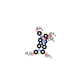 COc1ccc2c(c1)Sc1cc(OC)ccc1N2c1ccc2c(c1)C1(c3cc(N4c5ccc(OC)cc5Sc5cc(OC)ccc54)ccc3-2)c2ccccc2-c2cc(C(C)(C)C)nn21